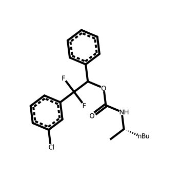 CCCC[C@H](C)NC(=O)OC(c1ccccc1)C(F)(F)c1cccc(Cl)c1